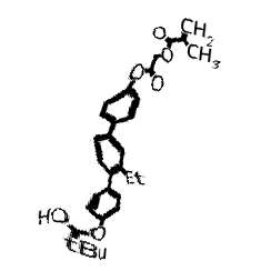 C=C(C)C(=O)OCC(=O)Oc1ccc(-c2ccc(-c3ccc(OC(O)C(C)(C)C)cc3)c(CC)c2)cc1